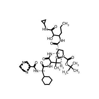 CCCC(NC(=O)[C@@H]1CN(C(=O)OC(C)(C)C)C[C@@H]1NC(=O)C(NC(=O)[C@@H](NC(=O)c1cnccn1)C1CCCCC1)C(C)(C)C)C(O)C(=O)NC1CC1